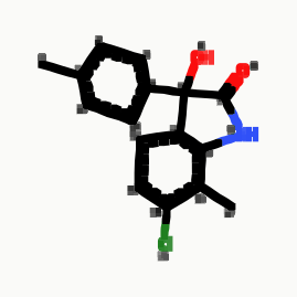 Cc1ccc(C2(O)C(=O)Nc3c2ccc(Cl)c3C)cc1